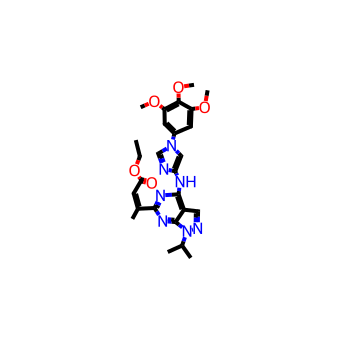 CCOC(=O)/C=C(/C)c1nc(Nc2cn(-c3cc(OC)c(OC)c(OC)c3)cn2)c2cnn(C(C)C)c2n1